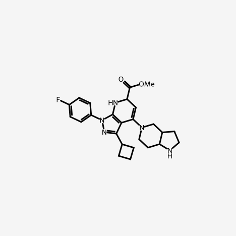 COC(=O)C1C=C(N2CCC3NCCC3C2)c2c(C3CCC3)nn(-c3ccc(F)cc3)c2N1